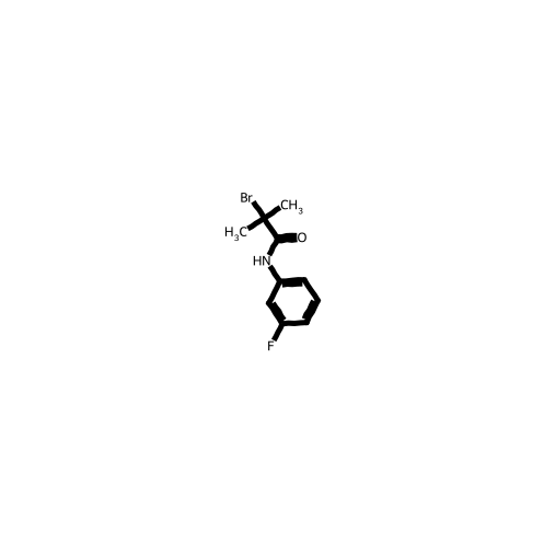 CC(C)(Br)C(=O)Nc1cccc(F)c1